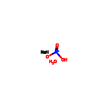 O.O=[N+]([O-])O.[NaH]